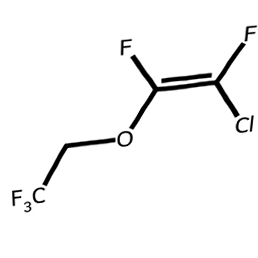 FC(Cl)=C(F)OCC(F)(F)F